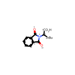 CCCCC(C(=O)O)N1C(=O)c2ccccc2C1=O